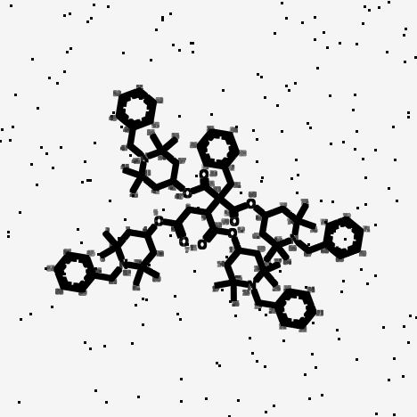 CC1(C)CC(OC(=O)CC(C(=O)OC2CC(C)(C)N(Cc3ccccc3)C(C)(C)C2)C(Cc2ccccc2)(C(=O)OC2CC(C)(C)N(Cc3ccccc3)C(C)(C)C2)C(=O)OC2CC(C)(C)N(Cc3ccccc3)C(C)(C)C2)CC(C)(C)N1Cc1ccccc1